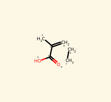 C=C(C)C(=O)O.[CH2]C